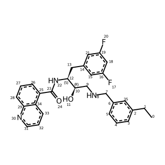 CCc1cccc(CNC[C@@H](O)[C@H](Cc2cc(F)cc(F)c2)NC(=O)c2cccc3ncccc23)c1